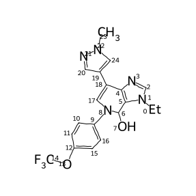 CCn1cnc2c1C(O)N(c1ccc(OC(F)(F)F)cc1)C=C2c1cnn(C)c1